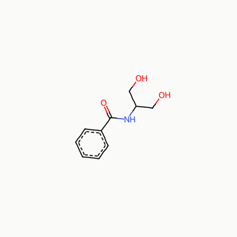 O=C(NC(CO)CO)c1ccccc1